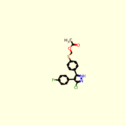 CC(=O)OCSc1ccc(-c2[nH]nc(Cl)c2-c2ccc(F)cc2)cc1